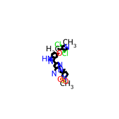 Cc1ncc(Cl)c(C(C)Oc2ccc3[nH]nc(-c4cnc(N5CC6(CCCN(S(C)(=O)=O)C6)C5)c(C#N)c4)c3c2)c1Cl